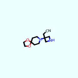 N#CCC1(N2CCC3(CC2)OCCO3)CNC1